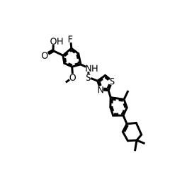 COc1cc(C(=O)O)c(F)cc1NSc1csc(-c2ccc(C3=CCC(C)(C)CC3)cc2C)n1